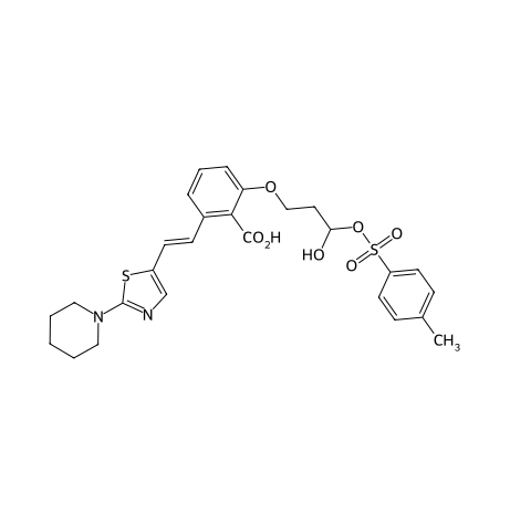 Cc1ccc(S(=O)(=O)OC(O)CCOc2cccc(/C=C/c3cnc(N4CCCCC4)s3)c2C(=O)O)cc1